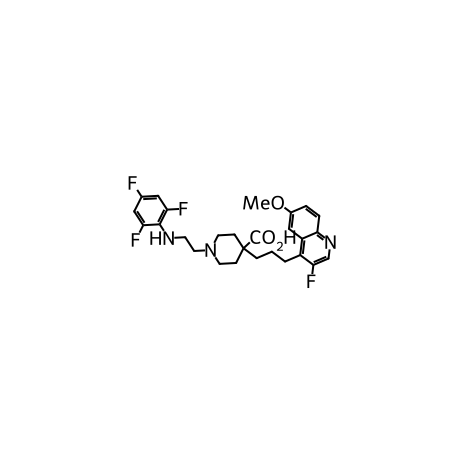 COc1ccc2ncc(F)c(CCCC3(C(=O)O)CCN(CCNc4c(F)cc(F)cc4F)CC3)c2c1